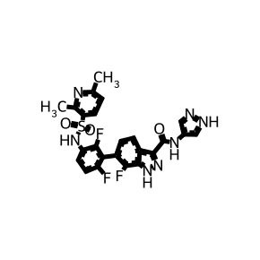 Cc1ccc(S(=O)(=O)Nc2ccc(F)c(-c3ccc4c(C(=O)Nc5cn[nH]c5)n[nH]c4c3F)c2F)c(C)n1